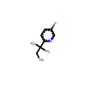 CC(=O)OCC(C)(C)c1ccc(Br)cn1